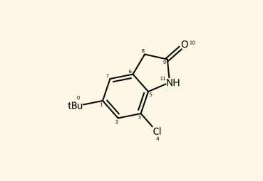 CC(C)(C)c1cc(Cl)c2c(c1)CC(=O)N2